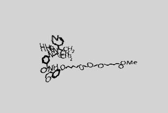 C=C=C(CNc1cccc(C(=O)NC2CCOc3ccc(OCCCCCCOCCOCCOCCCCCC(=O)OC)cc32)c1)N(C)C(C(=C)C)C1=CC=NC=CC1